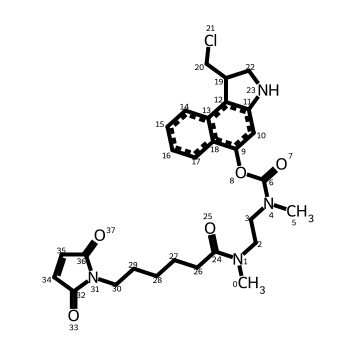 CN(CCN(C)C(=O)Oc1cc2c(c3ccccc13)C(CCl)CN2)C(=O)CCCCCN1C(=O)C=CC1=O